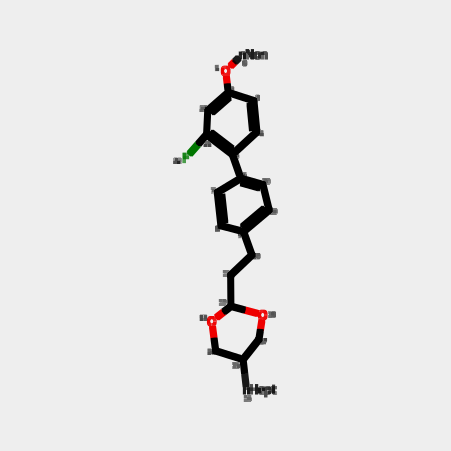 CCCCCCCCCOc1ccc(-c2ccc(CCC3OCC(CCCCCCC)CO3)cc2)c(F)c1